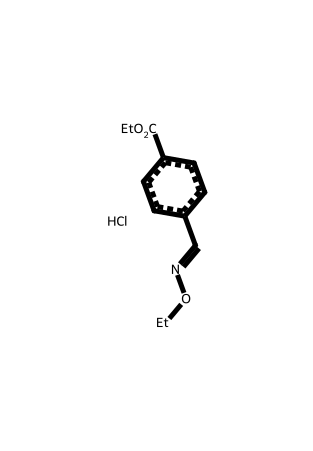 CCO/N=C/c1ccc(C(=O)OCC)cc1.Cl